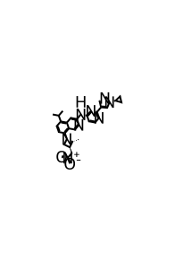 CC(C)c1ccc(N2C[C@H](C[N+](=O)[O-])[C@H]2C)c2cnc(Nc3ccnc(-c4cnn(C5CC5)c4)n3)cc12